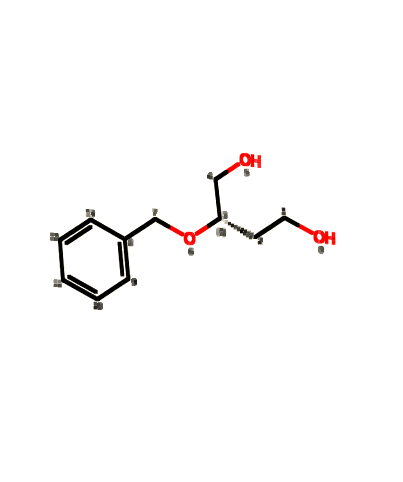 OCC[C@@H](CO)OCc1ccccc1